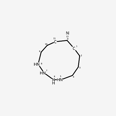 C1CCCCNNNNCCC1.[N]